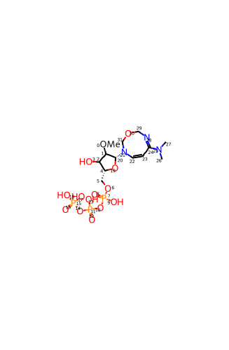 COC1C(O)[C@@H](COP(=O)(O)OP(=O)(O)OP(=O)(O)O)O[C@H]1N1/C=C\C(N(C)C)=N/COC1